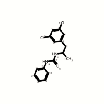 CC(Cc1cc(Cl)cc(Cl)c1)NC(=O)Nc1ccccc1